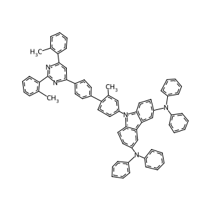 Cc1cc(-n2c3ccc(N(c4ccccc4)c4ccccc4)cc3c3cc(N(c4ccccc4)c4ccccc4)ccc32)ccc1-c1ccc(-c2cc(-c3ccccc3C)nc(-c3ccccc3C)n2)cc1